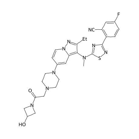 CCc1nn2ccc(N3CCN(CC(=O)N4CC(O)C4)CC3)cc2c1N(C)c1nc(-c2ccc(F)cc2C#N)ns1